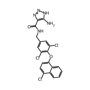 Nc1[nH]nnc1C(=O)NCc1cc(Cl)c(Oc2ccc(Cl)c3ccccc23)c(Cl)c1